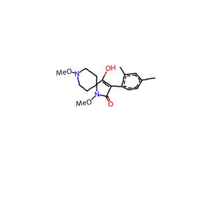 CON1CCC2(CC1)C(O)=C(c1ccc(C)cc1C)C(=O)N2OC